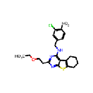 O=C(O)COCCc1nc(NCc2ccc([N+](=O)[O-])c(Cl)c2)c2c3c(sc2n1)CCCC3